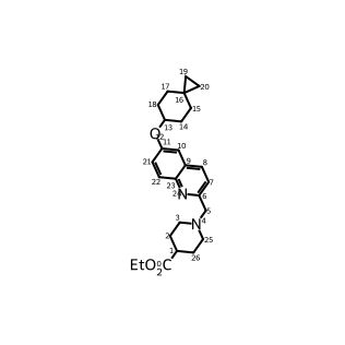 CCOC(=O)C1CCN(Cc2ccc3cc(OC4CCC5(CC4)CC5)ccc3n2)CC1